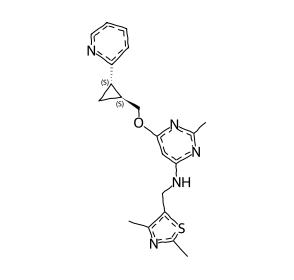 Cc1nc(NCc2sc(C)nc2C)cc(OC[C@H]2C[C@@H]2c2ccccn2)n1